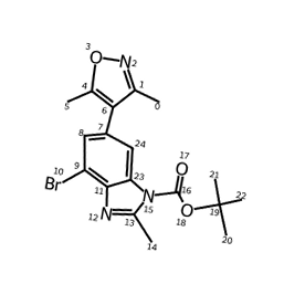 Cc1noc(C)c1-c1cc(Br)c2nc(C)n(C(=O)OC(C)(C)C)c2c1